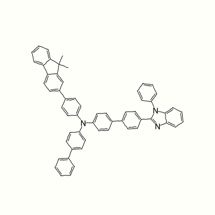 CC1(C)c2ccccc2-c2ccc(-c3ccc(N(c4ccc(-c5ccccc5)cc4)c4ccc(-c5ccc(-c6nc7ccccc7n6-c6ccccc6)cc5)cc4)cc3)cc21